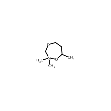 CC1CCOC[Si](C)(C)O1